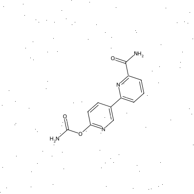 NC(=O)Oc1ccc(-c2cccc(C(N)=O)n2)cn1